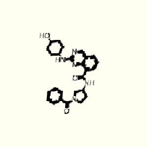 O=C(N[C@H]1CCN(C(=O)c2ccccc2)C1)c1cccc2cnc(N[C@H]3CC[C@H](O)CC3)nc12